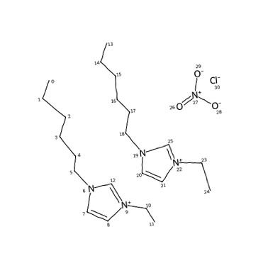 CCCCCCn1cc[n+](CC)c1.CCCCCCn1cc[n+](CC)c1.O=[N+]([O-])[O-].[Cl-]